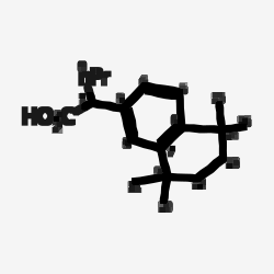 CCCC(C(=O)O)c1ccc2c(c1)C(C)(C)CCC2(C)C